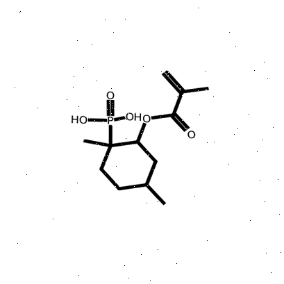 C=C(C)C(=O)OC1CC(C)CCC1(C)P(=O)(O)O